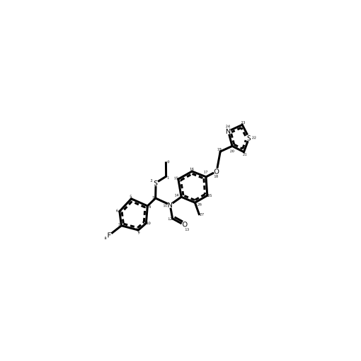 CCSC(c1ccc(F)cc1)N(C=O)c1ccc(OCc2cscn2)cc1C